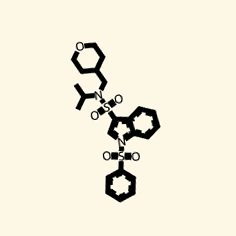 CC(C)N(CC1CCOCC1)S(=O)(=O)c1cn(S(=O)(=O)c2ccccc2)c2ccccc12